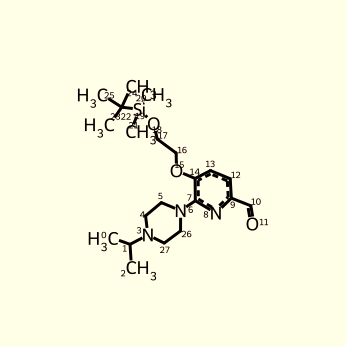 CC(C)N1CCN(c2nc(C=O)ccc2OCCO[Si](C)(C)C(C)(C)C)CC1